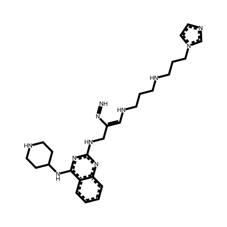 N=N/C(=C\NCCCNCCCn1ccnc1)CNc1nc(NC2CCNCC2)c2ccccc2n1